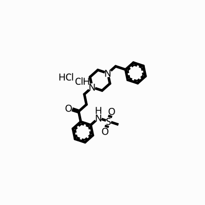 CS(=O)(=O)Nc1ccccc1C(=O)CCN1CCN(Cc2ccccc2)CC1.Cl.Cl